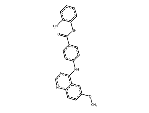 COc1ccc2ncnc(Nc3ccc(C(=O)Nc4ccccc4N)cc3)c2c1